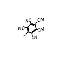 N#Cc1c(F)c(C#N)c(C#N)c(C#N)c1C#N